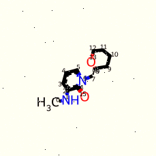 CNc1cccn(C[C@H]2CCCCO2)c1=O